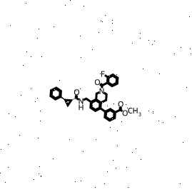 COC(=O)c1cccc(-c2ccc(CNC(=O)[C@@H]3C[C@H]3c3ccccc3)c3c2CCN(C(=O)c2ccccc2F)C3)c1